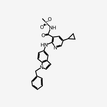 CS(=O)(=O)NC(=O)c1cc(C2CC2)cnc1Nc1ccc2c(ccn2Cc2ccccc2)c1